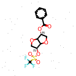 O=C(O[C@@H]1COC2C1OC[C@@H]2OS(=O)(=O)C(F)(F)F)c1ccccc1